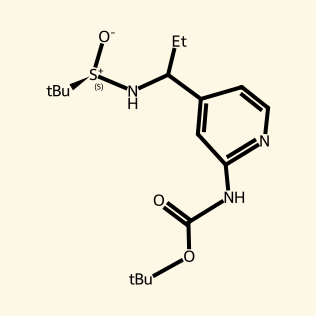 CCC(N[S@+]([O-])C(C)(C)C)c1ccnc(NC(=O)OC(C)(C)C)c1